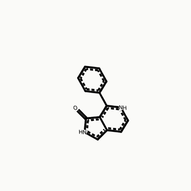 O=c1[nH]cc2cc[nH]c(-c3ccccc3)c1-2